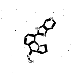 ON=C1c2cccc(-c3nc4ccncc4[nH]3)c2-n2cccc21